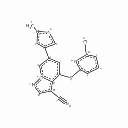 Cn1cc(-c2cc(Sc3cccc(Cl)n3)c3c(C#N)cnn3c2)cn1